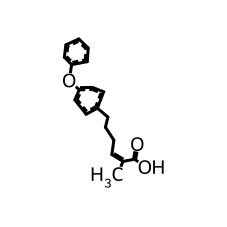 CC(=CCCCc1ccc(Oc2ccccc2)cc1)C(=O)O